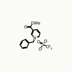 COC(=O)c1ccc[n+](Cc2ccccc2)c1.O=S(=O)([O-])C(F)(F)F